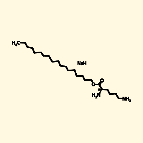 CCCCCCCCCCCCCCCCCCOC(=O)[C@@H](N)CCCCN.[NaH]